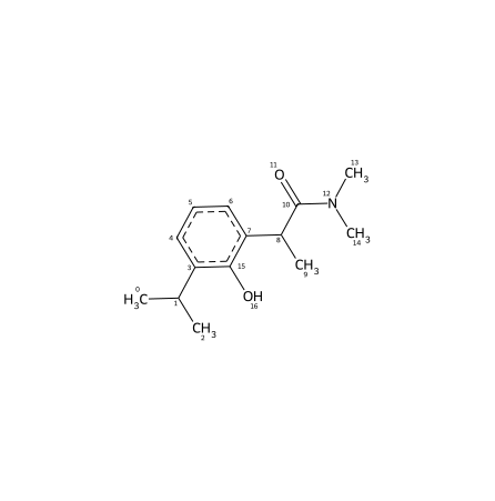 CC(C)c1cccc(C(C)C(=O)N(C)C)c1O